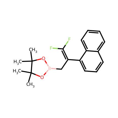 CC1(C)OB(CC(=C(F)F)c2cccc3ccccc23)OC1(C)C